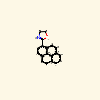 c1cc2ccc3ccc(C4=NCCO4)c4ccc(c1)c2c34